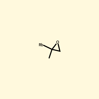 C[C]1([Rb])CO1